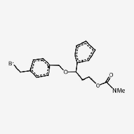 CNC(=O)OCCC(OCc1ccc(CBr)cc1)c1ccccc1